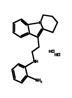 Cl.Cl.Nc1ccccc1NCCc1c2n(c3ccccc13)CCCC2